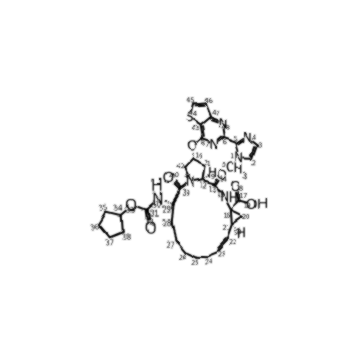 Cn1ccnc1-c1nc(O[C@@H]2C[C@H]3C(=O)N[C@]4(C(=O)O)C[C@H]4C=CCCCCC[C@H](NC(=O)OC4CCCC4)C(=O)N3C2)c2sccc2n1